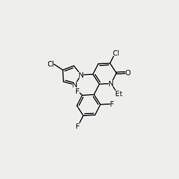 CCn1c(-c2c(F)cc(F)cc2F)c(-n2cc(Cl)cn2)cc(Cl)c1=O